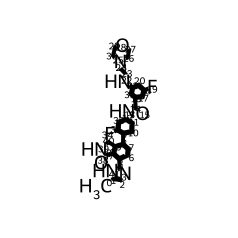 Cc1cnc(-c2ccc(-c3ccc(NC(=O)c4cc(F)cc(NCCN5CCOCC5)c4)cc3F)c3c2C(=O)NC3)[nH]1